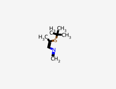 C=N/C=C(/C)SC(C)(C)C